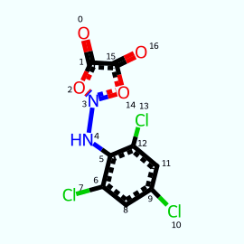 O=c1on(Nc2c(Cl)cc(Cl)cc2Cl)oc1=O